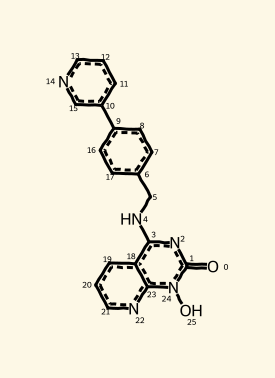 O=c1nc(NCc2ccc(-c3cccnc3)cc2)c2cccnc2n1O